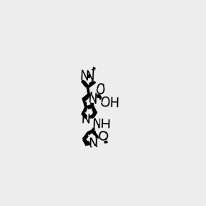 COc1ncccc1Nc1cc2c(cn1)cc(-c1cnn(C)c1)n2C(=O)O